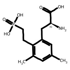 Cc1cc(C)c(CCP(=O)(O)O)c(C[C@H](N)C(=O)O)c1